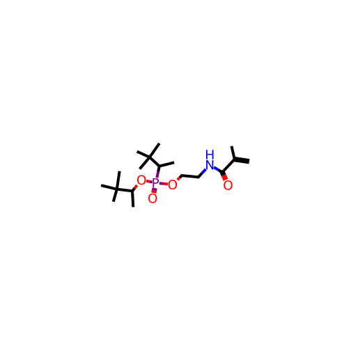 C=C(C)C(=O)NCCOP(=O)(OC(C)C(C)(C)C)C(C)C(C)(C)C